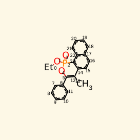 CCOP1(=O)OC(c2ccccc2)=C(C)c2ccc3ccccc3c21